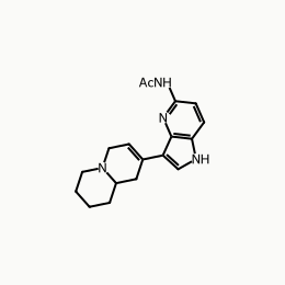 CC(=O)Nc1ccc2[nH]cc(C3=CCN4CCCCC4C3)c2n1